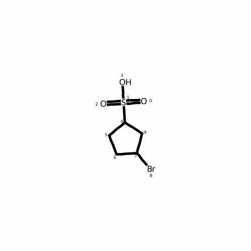 O=S(=O)(O)C1CCC(Br)C1